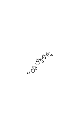 O=C(N[C@H]1CC[C@@H](c2nc3cc(Cl)ccc3o2)CC1)c1ccc([S@@+]([O-])CC2CC2)o1